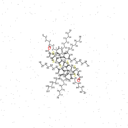 CCCCCCCc1cc(CCCCCCC)cc(C2(c3cc(CCCCCCC)cc(CCCCCCC)c3)c3c(sc4cc(C=O)sc34)-c3sc4c5c(sc4c32)-c2sc3cc(C=O)sc3c2C5(c2cc(CCCCCCC)cc(CCCCCCC)c2)c2cc(CCCCCCC)cc(CCCCCCC)c2)c1